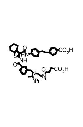 CC(C)[C@H](C)N(CCN(C)C(=O)CCC(=O)O)Cc1cccc(C(=O)Nc2sc3c(c2C(=O)Nc2ccc(CCc4ccc(C(=O)O)cc4)cc2)CCCC3)c1